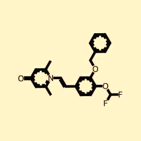 Cc1cc(=O)cc(C)n1C=Cc1ccc(OC(F)F)c(OCc2ccccc2)c1